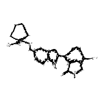 O=C1NCc2c(Cl)ccc(-c3cc4cc(CNC5(CO)CCCC5)ccc4[nH]3)c21